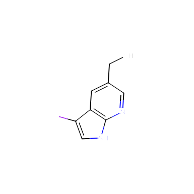 CCc1cnc2[nH]cc(I)c2c1